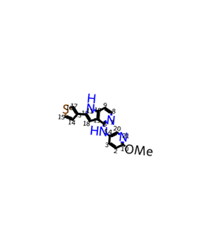 COc1ccc(Nc2nccc3[nH]c(-c4ccsc4)cc23)cn1